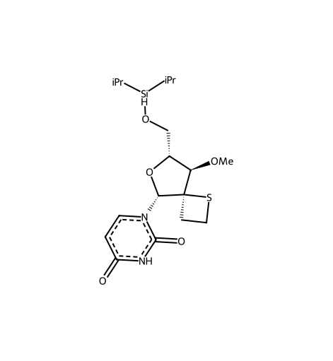 CO[C@@H]1[C@@H](CO[SiH](C(C)C)C(C)C)O[C@@H](n2ccc(=O)[nH]c2=O)[C@@]12CCS2